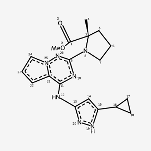 COC(=O)[C@]1(C)CCCN1c1nc(Nc2cc(C3CC3)[nH]n2)c2cccn2n1